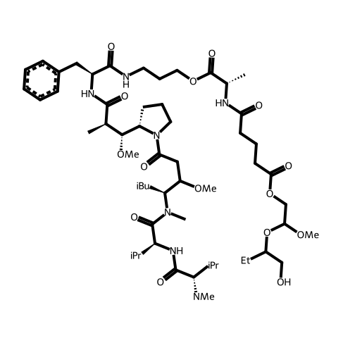 CCC(CO)OC(COC(=O)CCCC(=O)N[C@@H](C)C(=O)OCCCNC(=O)[C@H](Cc1ccccc1)NC(=O)[C@H](C)[C@@H](OC)[C@@H]1CCCN1C(=O)CC(OC)[C@H](C(C)CC)N(C)C(=O)[C@@H](NC(=O)[C@@H](NC)C(C)C)C(C)C)OC